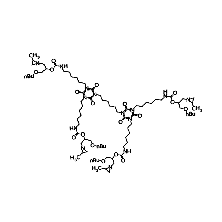 CCCCOCC(CN1CC1C)OC(=O)NCCCCCCn1c(=O)n(CCCCCCNC(=O)OC(COCCCC)CN2CC2C)c(=O)n(CCCCCCn2c(=O)n(CCCCCCNC(=O)OC(COCCCC)CN3CC3C)c(=O)n(CCCCCCNC(=O)OC(COCCCC)CN3CC3C)c2=O)c1=O